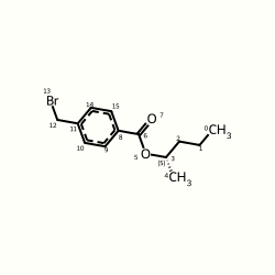 CCC[C@H](C)OC(=O)c1ccc(CBr)cc1